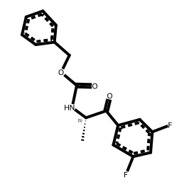 C[C@H](NC(=O)OCc1ccccc1)C(=O)c1cc(F)cc(F)c1